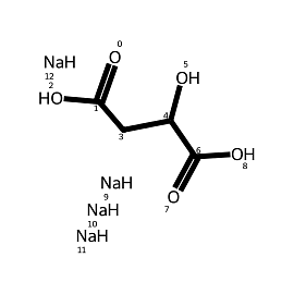 O=C(O)CC(O)C(=O)O.[NaH].[NaH].[NaH].[NaH]